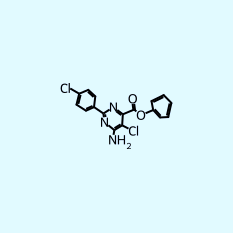 Nc1nc(-c2ccc(Cl)cc2)nc(C(=O)Oc2ccccc2)c1Cl